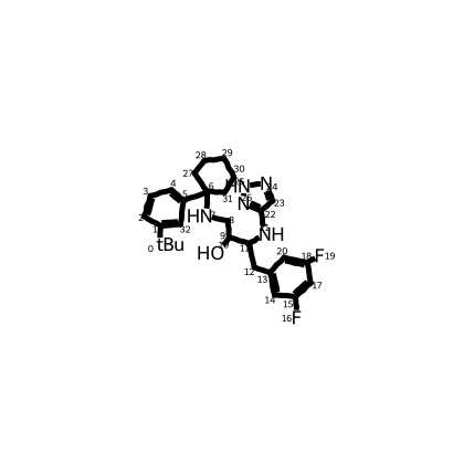 CC(C)(C)c1cccc(C2(NCC(O)C(Cc3cc(F)cc(F)c3)Nc3cn[nH]n3)CCCCC2)c1